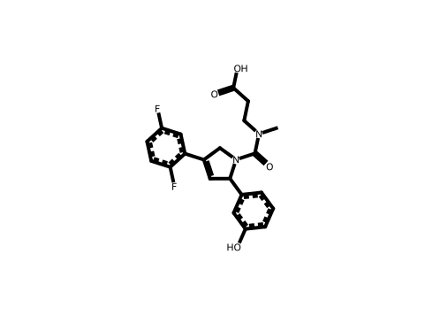 CN(CCC(=O)O)C(=O)N1CC(c2cc(F)ccc2F)=CC1c1cccc(O)c1